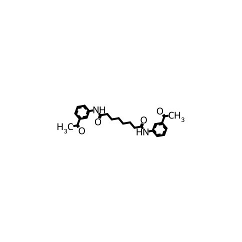 CC(=O)c1cccc(NC(=O)CCCCCCC(=O)Nc2cccc(C(C)=O)c2)c1